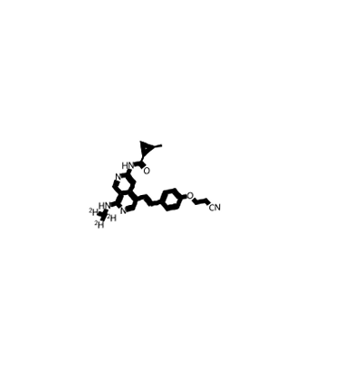 [2H]C([2H])([2H])Nc1ncc(/C=C/c2ccc(OCCC#N)cc2)c2cc(NC(=O)[C@H]3C[C@H]3C)ncc12